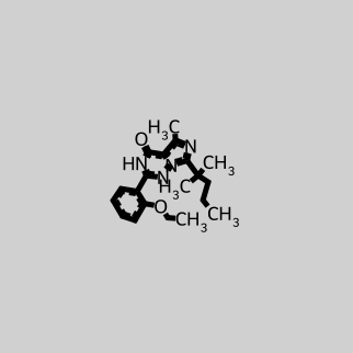 CCCC(C)(C)c1nc(C)c2c(=O)[nH]c(-c3ccccc3OCC)nn12